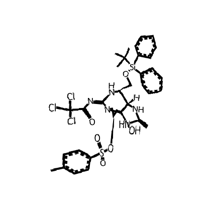 C=C1N[C@H]2[C@H](CO[Si](c3ccccc3)(c3ccccc3)C(C)(C)C)N/C(=N/C(=O)C(Cl)(Cl)Cl)N3C[C@H](OS(=O)(=O)c4ccc(C)cc4)[C@H](O)C23N1